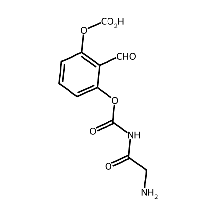 NCC(=O)NC(=O)Oc1cccc(OC(=O)O)c1C=O